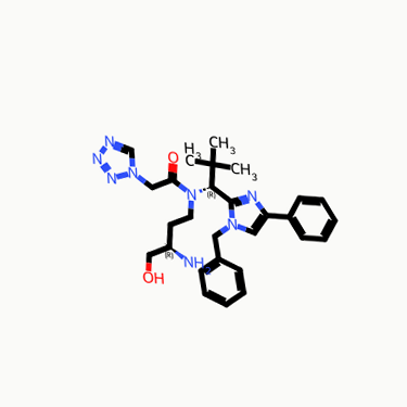 CC(C)(C)[C@H](c1nc(-c2ccccc2)cn1Cc1ccccc1)N(CC[C@@H](N)CO)C(=O)Cn1cnnn1